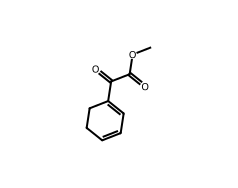 COC(=O)C(=O)C1=CC=CCC1